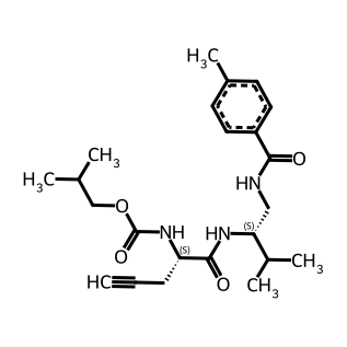 C#CC[C@H](NC(=O)OCC(C)C)C(=O)N[C@H](CNC(=O)c1ccc(C)cc1)C(C)C